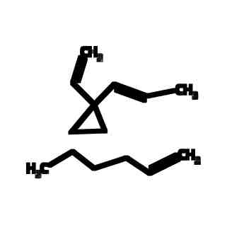 C=CC1(C=CC)CC1.C=CCCCC